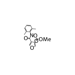 COC(=O)ON(C(=O)c1ccoc1)c1c(C)cccc1C